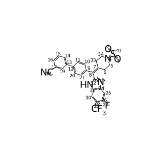 CS(=O)(=O)N1CCC(=C(c2ccc(-c3cccc(C#N)c3)cc2)c2nc3cc(F)c(C(F)(F)F)cc3[nH]2)CC1